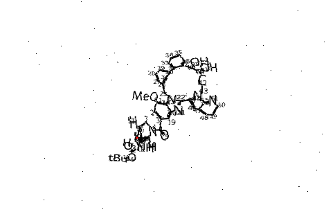 COc1cc(C(=O)N2C[C@H]3CC(NC(=O)OC(C)(C)C)[C@@H]2[C@@H]3C)cc2nc3n(c12)Cc1cccc(c1)-c1ccccc1[C@H](O)[C@H](O)CCn1c-3cc2cccnc21